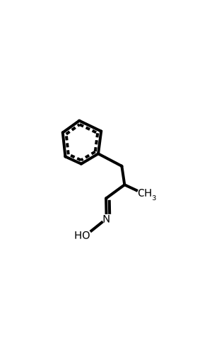 CC(C=NO)Cc1ccccc1